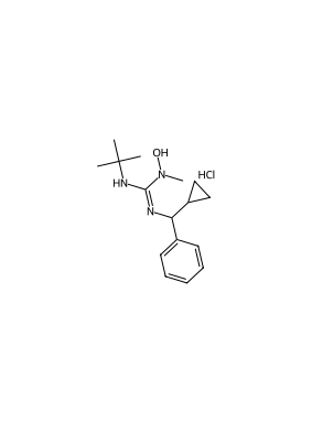 CN(O)/C(=N\C(c1ccccc1)C1CC1)NC(C)(C)C.Cl